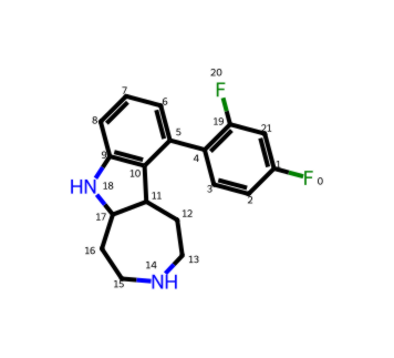 Fc1ccc(-c2cccc3c2C2CCNCCC2N3)c(F)c1